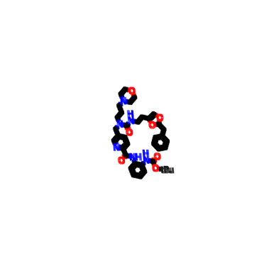 CC(C)(C)OC(=O)Nc1ccccc1NC(=O)c1ccc(CN(CCCN2CCOCC2)C(=O)NCCC2=COC(Cc3ccccc3)O2)cn1